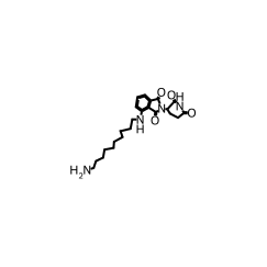 NCCCCCCCCCCNc1cccc2c1C(=O)N(C1CCC(=O)NC1=O)C2=O